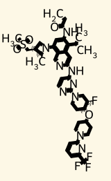 C=CC(=O)Nc1cc(N2C[C@H](CS(C)(=O)=O)[C@H]2C)c2cnc(Nc3ccnc(N4CC[C@@H](OC5CCN(c6cccc(C(F)(F)F)n6)CC5)[C@@H](F)C4)n3)cc2c1C(C)C